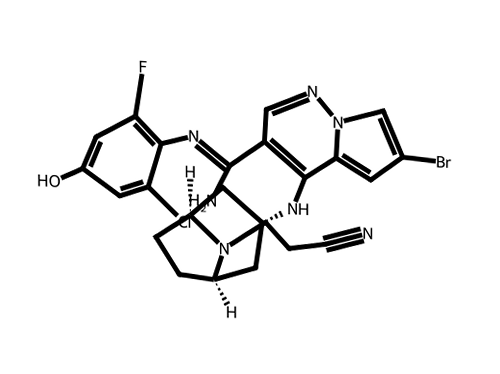 N#CCCN1[C@@H]2CC[C@H]1C[C@H](Nc1c(/C(N)=N/c3c(F)cc(O)cc3Cl)cnn3cc(Br)cc13)C2